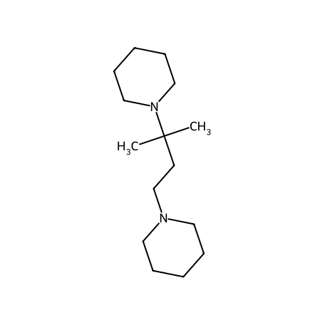 CC(C)(CCN1CCCCC1)N1CCCCC1